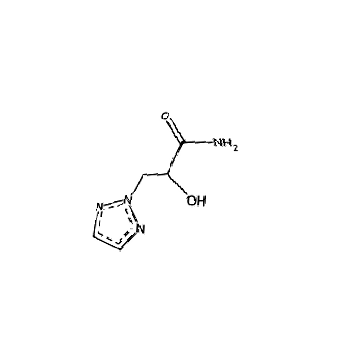 NC(=O)C(O)Cn1nccn1